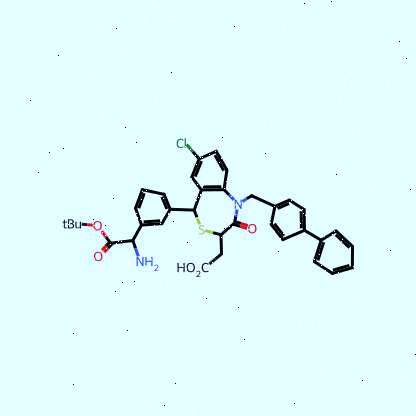 CC(C)(C)OC(=O)C(N)c1cccc(C2SC(CC(=O)O)C(=O)N(Cc3ccc(-c4ccccc4)cc3)c3ccc(Cl)cc32)c1